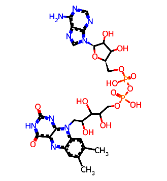 Cc1cc2nc3c(=O)[nH]c(=O)nc-3n(CC(O)C(O)C(O)COP(=O)(O)OP(=O)(O)OC[C@H]3O[C@@H](n4cnc5c(N)ncnc54)C(O)C3O)c2cc1C